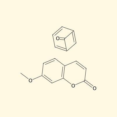 COc1ccc2ccc(=O)oc2c1.O=C1c2cccc1c2